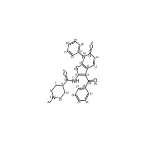 CN1CCC(C(=O)Nc2sc3c(ccc(=O)n3-c3ccccc3)c2C(=O)c2ccccc2)CC1